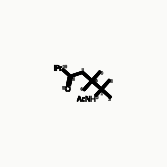 CC(=O)NC(C)(C)C(C)(C)CC(=O)C(C)C